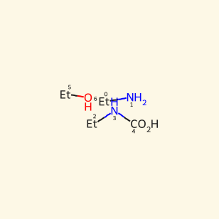 CCN.CCNC(=O)O.CCO